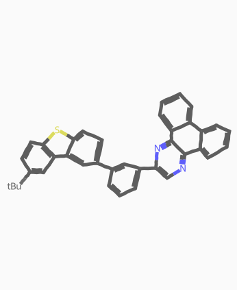 CC(C)(C)c1ccc2sc3ccc(-c4cccc(-c5cnc6c7ccccc7c7ccccc7c6n5)c4)cc3c2c1